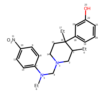 CCC1CN(CN(CC)c2ccc([N+](=O)[O-])cc2)CCC1(CC)c1cccc(O)c1